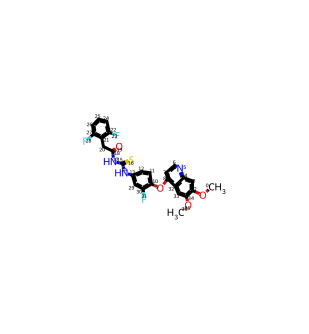 COc1cc2nccc(Oc3ccc(NC(=S)NC(=O)Cc4c(F)cccc4F)cc3F)c2cc1OC